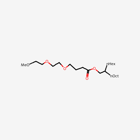 CCCCCCCCC(CCCCCC)COC(=O)CCCOCCOCCOC